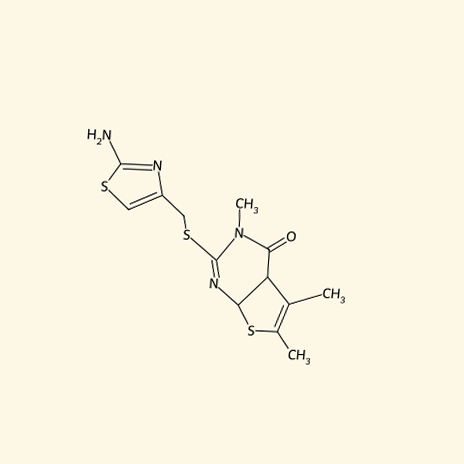 CC1=C(C)C2C(=O)N(C)C(SCc3csc(N)n3)=NC2S1